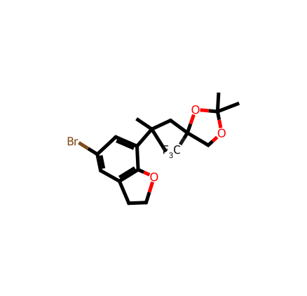 CC1(C)OCC(CC(C)(C)c2cc(Br)cc3c2OCC3)(C(F)(F)F)O1